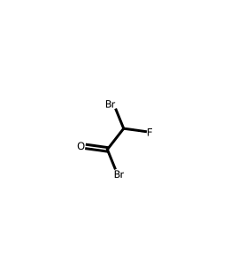 O=C(Br)C(F)Br